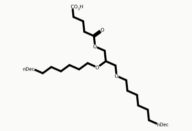 CCCCCCCCCCCCCCCCOCC(COC(=O)CCCC(=O)O)OCCCCCCCCCCCCCCCC